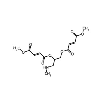 CNCC(COC(=O)/C=C/C(=O)OC)OC(=O)/C=C/C(=O)OC